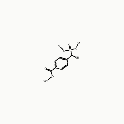 CCOP(=O)(OCC)C(C#N)c1ccc(C(=O)OC(C)(C)C)cc1